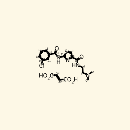 CN(C)CCNC(=O)c1csc(NC(=O)c2cccc(Cl)c2)n1.O=C(O)C=CC(=O)O